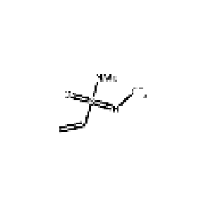 C=CS(=O)(=NC(F)(F)F)NC